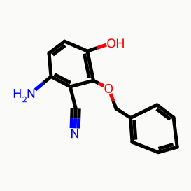 N#Cc1c(N)ccc(O)c1OCc1ccccc1